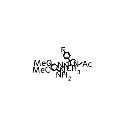 COc1cc2nc(N(C)CC3(c4ccc(F)cc4)CCN(CCC(C)=O)CC3)nc(N)c2cc1OC